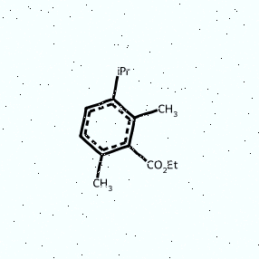 CCOC(=O)c1c(C)ccc(C(C)C)c1C